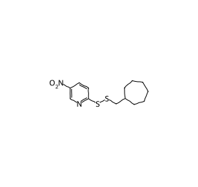 O=[N+]([O-])c1ccc(SSCC2CCCCCC2)nc1